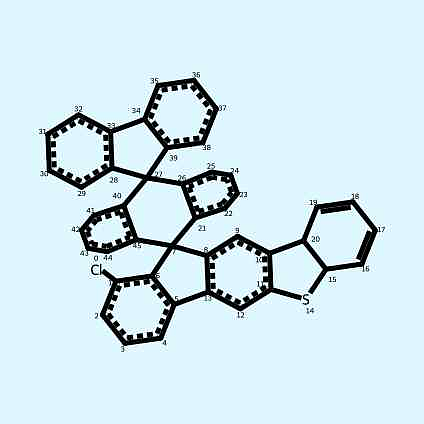 Clc1cccc2c1C1(c3cc4c(cc3-2)SC2C=CC=CC42)c2ccccc2C2(c3ccccc3-c3ccccc32)c2ccccc21